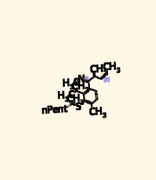 C=C(/C=C\C)/C(=N/C)c1ccc(C)c(S[C@@H](C)CCCCC)c1C(=C)C